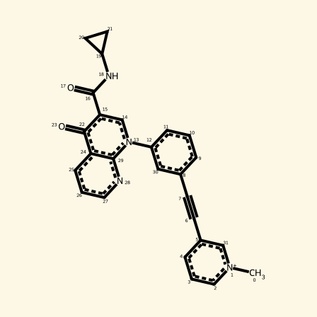 C[n+]1cccc(C#Cc2cccc(-n3cc(C(=O)NC4CC4)c(=O)c4cccnc43)c2)c1